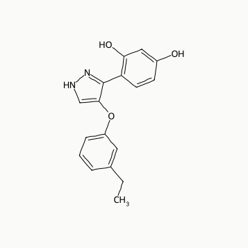 CCc1cccc(Oc2c[nH]nc2-c2ccc(O)cc2O)c1